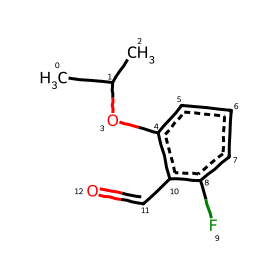 CC(C)Oc1cccc(F)c1C=O